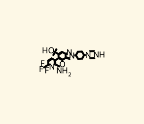 CC(C)(O)c1cc2nn(C3CCC(N4CCNCC4)CC3)cc2cc1-c1ccc(C(F)(F)F)nc1C(N)=O